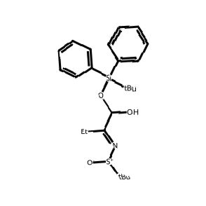 CC/C(=N\[S+]([O-])C(C)(C)C)C(O)O[Si](c1ccccc1)(c1ccccc1)C(C)(C)C